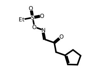 CCS(=O)(=O)ON=CC(=O)CC1=CCCC1